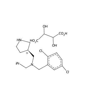 CC(C)CN(Cc1cc(Cl)ccc1Cl)C[C@H]1CCNC1.O=C(O)C(O)C(O)C(=O)O